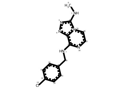 CNc1nnc2c(NCc3ccc(Cl)cc3)nccn12